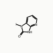 O=c1[nH]c2ncccc2n1I